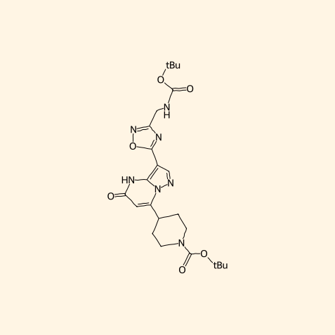 CC(C)(C)OC(=O)NCc1noc(-c2cnn3c(C4CCN(C(=O)OC(C)(C)C)CC4)cc(=O)[nH]c23)n1